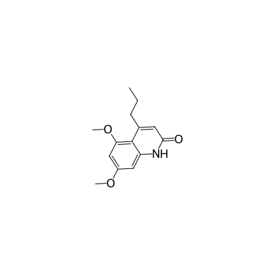 CCCc1cc(=O)[nH]c2cc(OC)cc(OC)c12